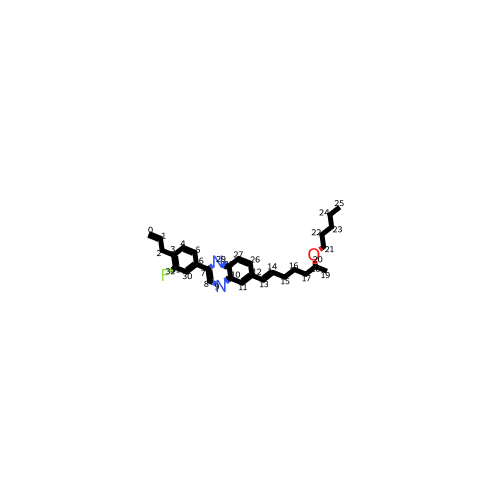 C=CCc1ccc(-c2cnc3cc(/C=C/CCCC(C)OCCCCC)ccc3n2)cc1F